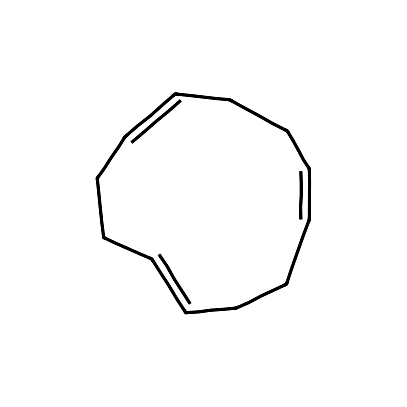 C1=C\CC/C=C/CC/C=C\CC/1